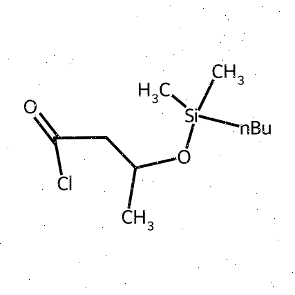 CCCC[Si](C)(C)OC(C)CC(=O)Cl